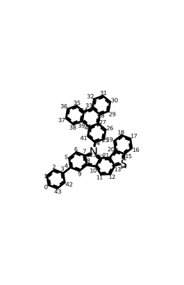 c1ccc(-c2ccc3c(c2)c2ccc4sc5ccccc5c4c2n3-c2ccc3c4ccccc4c4ccccc4c3c2)cc1